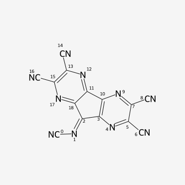 N#CN=C1c2nc(C#N)c(C#N)nc2-c2nc(C#N)c(C#N)nc21